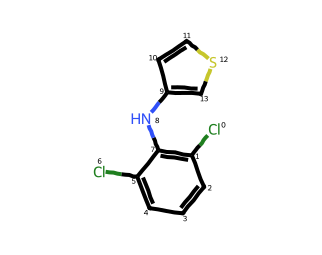 Clc1cccc(Cl)c1Nc1ccsc1